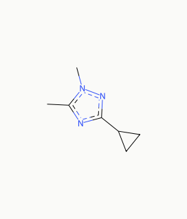 Cc1nc(C2CC2)nn1C